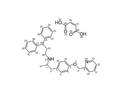 CC(Cc1ccc(OCc2ccccn2)cc1)NCCC(c1ccccc1)c1ccccc1.O=C(O)/C=C\C(=O)O